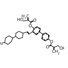 C=C(CO)C(=O)Oc1ccc(-c2ccc(OC(=O)C(=C)CO)c(/C=C/C3CCC(C4CCC(CCCC)CC4)CC3)c2)cc1